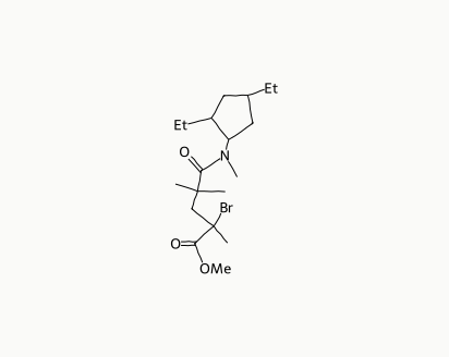 CCC1CC(CC)C(N(C)C(=O)C(C)(C)CC(C)(Br)C(=O)OC)C1